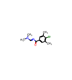 Cc1cc(C(=O)/N=C/N(C)C)cc(C)c1Br